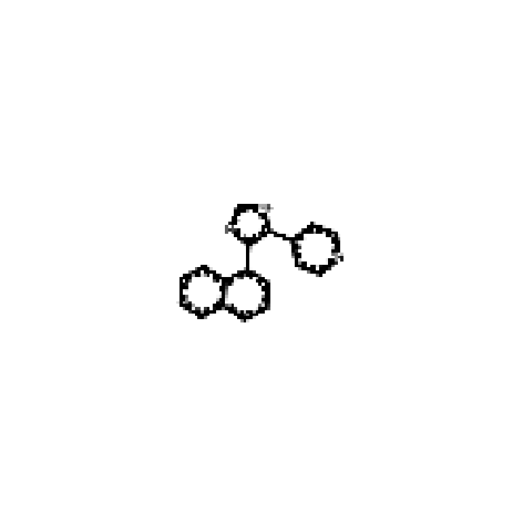 c1ccc2c(-c3nc[nH]c3-c3ccncc3)cccc2c1